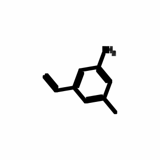 Bc1cc(C)cc(C=C)c1